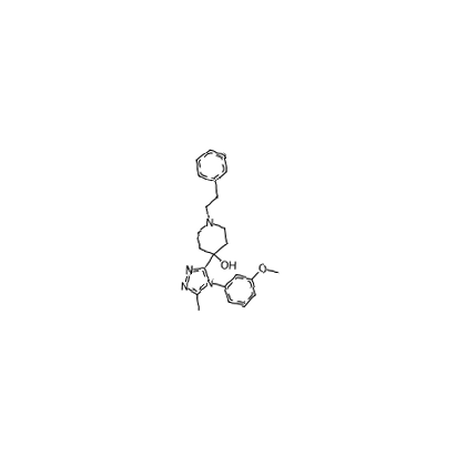 COc1cccc(-n2c(C)nnc2C2(O)CCN(CCc3ccccc3)CC2)c1